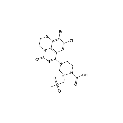 CS(=O)(=O)C[C@@H]1CN(c2nc(=O)n3c4c(c(Br)c(Cl)cc24)SCC3)CCN1C(=O)O